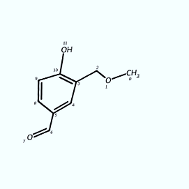 COCc1cc(C=O)ccc1O